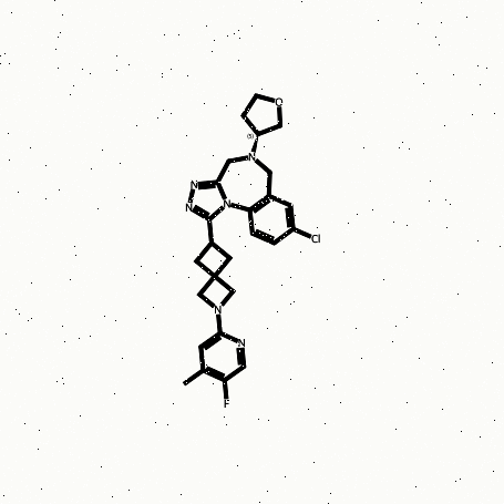 Cc1cc(N2CC3(CC(c4nnc5n4-c4ccc(Cl)cc4CN([C@H]4CCOC4)C5)C3)C2)ncc1F